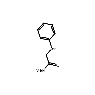 CNC(=O)C[Se]c1ccccc1